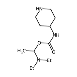 CCN(CC)C(C)OC(=O)NC1CCNCC1